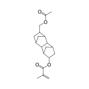 C=C(C)C(=O)OC1CC2CC1C1C3CC(COC(C)=O)C(C3)C21